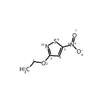 CCOc1cc([N+](=O)[O-])sn1